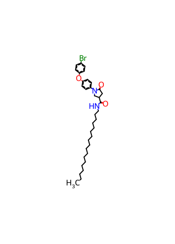 CCCCCCCCCCCCCCCCCCNC(=O)C1CC(=O)N(c2ccc(Oc3ccc(Br)cc3)cc2)C1